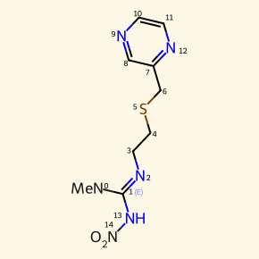 CN/C(=N\CCSCc1cnccn1)N[N+](=O)[O-]